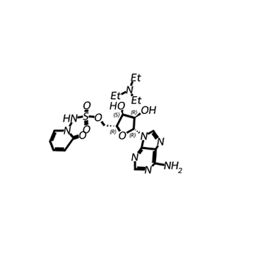 CCN(CC)CC.Nc1ncnc2c1ncn2[C@@H]1O[C@H](COS(=O)(=O)Nn2ccccc2=O)[C@@H](O)[C@H]1O